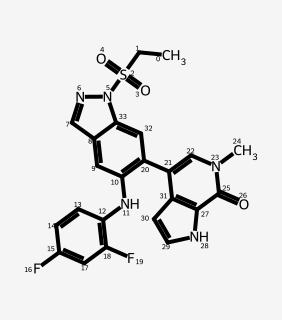 CCS(=O)(=O)n1ncc2cc(Nc3ccc(F)cc3F)c(-c3cn(C)c(=O)c4[nH]ccc34)cc21